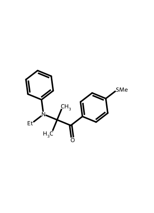 CCN(c1ccccc1)C(C)(C)C(=O)c1ccc(SC)cc1